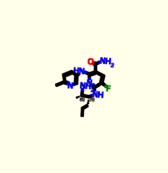 CCC[C@@H](Nc1nc(Nc2ccc(C)nc2)c(C(N)=O)cc1F)[C@H](C)N